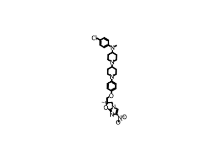 CN(c1ccc(Cl)cc1)C1CCN(C2CCN(c3ccc(OC[C@@]4(C)Cn5cc([N+](=O)[O-])nc5O4)cc3)CC2)CC1